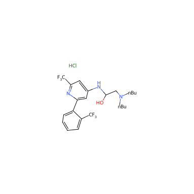 CCCCN(CCCC)CC(O)Nc1cc(-c2ccccc2C(F)(F)F)nc(C(F)(F)F)c1.Cl